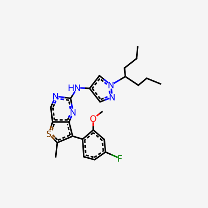 CCCC(CCC)n1cc(Nc2ncc3sc(C)c(-c4ccc(F)cc4OC)c3n2)cn1